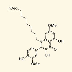 CCCCCCCCCCCCCCCCCCn1c(-c2ccc(O)c(OC)c2)c(O)c(=O)c2c(O)cc(OC)cc21